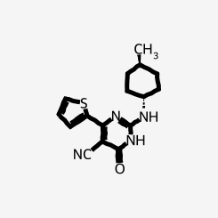 C[C@H]1CC[C@H](Nc2nc(-c3cccs3)c(C#N)c(=O)[nH]2)CC1